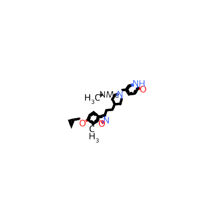 CNC.Cc1c(OCC2CC2)ccc2c(CCC3CCN(Cc4ccc(=O)[nH]c4)CC3)noc12